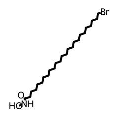 O=C(CCCCCCCCCCCCCCCCCCCCCCCCBr)NO